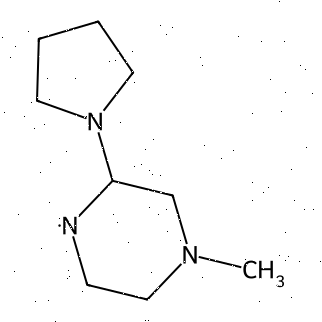 CN1CC[N]C(N2CCCC2)C1